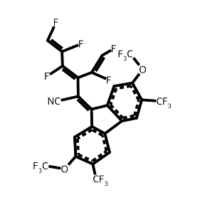 N#CC(=C1c2cc(OC(F)(F)F)c(C(F)(F)F)cc2-c2cc(C(F)(F)F)c(OC(F)(F)F)cc21)C(/C(F)=C/F)=C(F)/C(F)=C/F